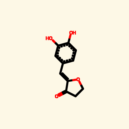 O=C1CCO/C1=C\c1ccc(O)c(O)c1